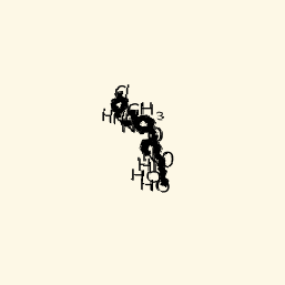 Cn1c(Nc2ccc(Cl)cc2)nc2cc(Oc3ccnc(C(=O)NCC(O)CO)c3)ccc21